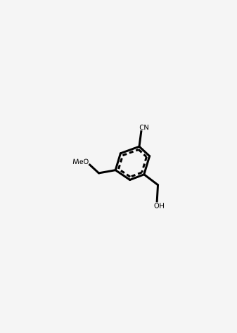 COCc1cc(C#N)cc(CO)c1